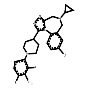 Fc1ccc(N2CCC(c3nnc4n3-c3ccc(Cl)cc3CN(C3CC3)C4)CC2)c(F)c1C(F)(F)F